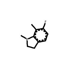 CB1CCc2ccc(F)c(C)c21